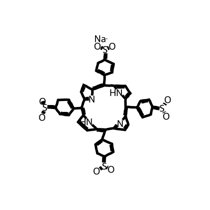 O=S(=O)=C1C=CC(c2c3nc(c(C4=CCC(=S(=O)=O)C=C4)c4ccc([nH]4)c(C4=CCC(=S(=O)=O)C=C4)c4nc(c(C5=CCC(=S(=O)=O)C=C5)c5ccc2[nH]5)C=C4)C=C3)=CC1.[Na]